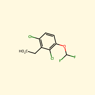 O=C(O)Cc1c(Cl)ccc(OC(F)F)c1Cl